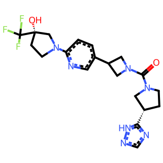 O=C(N1CC(c2ccc(N3CC[C@@](O)(C(F)(F)F)C3)nc2)C1)N1CC[C@H](c2ncn[nH]2)C1